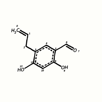 C=CCc1cc(C=O)c(O)cc1O